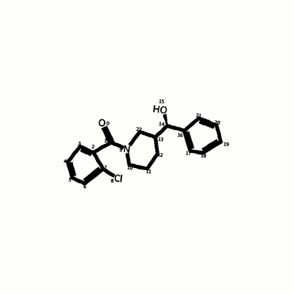 O=C(c1ccccc1Cl)N1CCCC([C@@H](O)c2ccccc2)C1